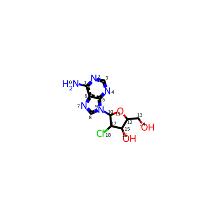 Nc1ncnc2c1ncn2C1OC(CO)C(O)C1Cl